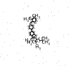 C=C(C)CCC(C(=C)C)N1Cc2cc(C3CCN(Cc4cccc(C)c4C)CC3)ccc2C1=C